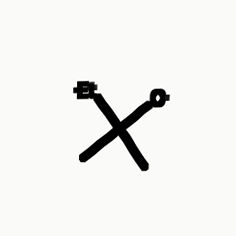 C[CH]C(C)(C)[O]